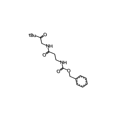 CC(C)(C)C(=O)CNC(=O)CCNC(=O)OCc1ccccc1